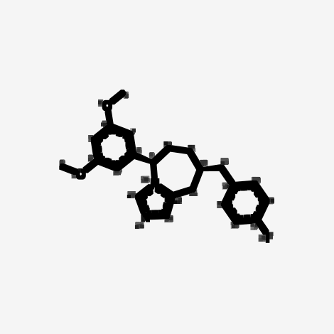 COc1cc(OC)cc([C@H]2CC[C@@H](Cc3ccc(F)cc3)Cc3cncn32)c1